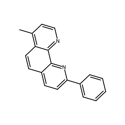 Cc1ccnc2c1ccc1ccc(-c3ccccc3)nc12